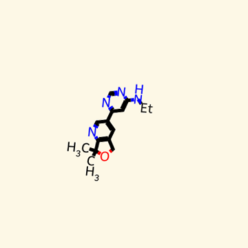 CCNc1cc(-c2cnc3c(c2)COC3(C)C)ncn1